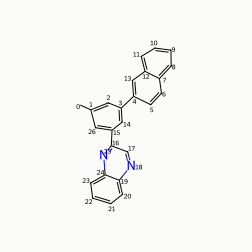 Cc1cc(-c2ccc3ccccc3c2)cc(-c2cnc3ccccc3n2)c1